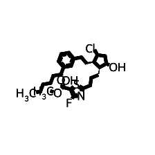 CCCCCC(O)c1cccc(CC[C@H]2C(Cl)CC(O)[C@@H]2CCCc2nc(F)c(C(=O)OC)s2)c1